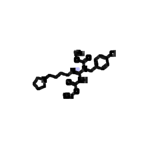 CC(C)(C)OC(=O)N/C(=N\CCCCN1CCCC1)N(Cc1ccc(Cl)cc1)C(=O)OC(C)(C)C